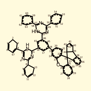 C1=CCCC(C2=NC(C3C=CC=CC3)=NC(c3cc(-c4ccc5c(c4)Oc4ccccc4C54c5ccccc5C5C=CC=CC54)cc(C4N=C(c5ccccc5)N=C(c5ccccc5)N4)c3)N2)=C1